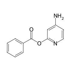 Nc1ccnc(OC(=O)c2ccccc2)c1